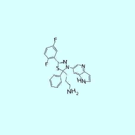 NCCCC1(c2ccccc2)SC(c2cc(F)ccc2F)=NN1c1cnc2cc[nH]c2c1